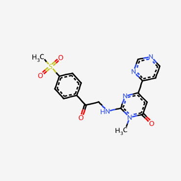 Cn1c(NCC(=O)c2ccc(S(C)(=O)=O)cc2)nc(-c2ccncn2)cc1=O